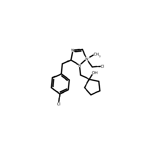 C[N+]1(CCl)C=NC(Cc2ccc(Cl)cc2)N1CC1(O)CCCC1